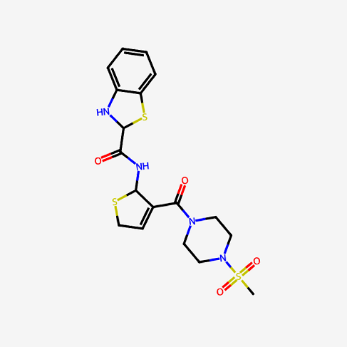 CS(=O)(=O)N1CCN(C(=O)C2=CCSC2NC(=O)C2Nc3ccccc3S2)CC1